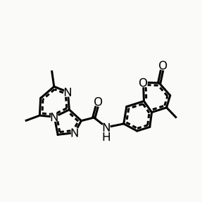 Cc1cc(C)n2cnc(C(=O)Nc3ccc4c(C)cc(=O)oc4c3)c2n1